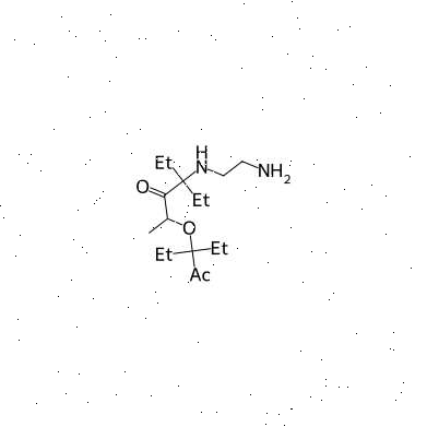 CCC(CC)(NCCN)C(=O)C(C)OC(CC)(CC)C(C)=O